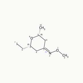 CO/N=C1/C[C@H](CI)O[C@H](C)C1